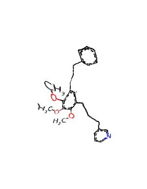 COc1c(CCCc2ccccc2)[c]c(CCCc2cccnc2)c(OC)c1OC